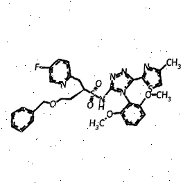 COc1cccc(OC)c1-n1c(NS(=O)(=O)[C@@H](CCOCc2ccccc2)Cc2ccc(F)cn2)nnc1-c1nc(C)cs1